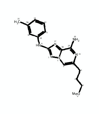 COCCCc1cn2nc(Nc3cccc(C)c3)nc2c(N)n1